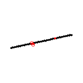 CCCCCCCCCCCCCCCCCCCCCCCCCCCCCCCCCCCCCC(=O)OCCCCCCCCCCCCCCCCCCCC